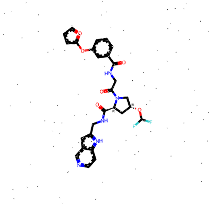 O=C(NCC(=O)N1C[C@H](OC(F)F)C[C@H]1C(=O)NCc1cc2cnccc2[nH]1)c1cccc(Oc2ccco2)c1